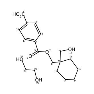 O=C(O)c1ccc(C(=O)OCC2(CO)CCCCC2)cc1.OCCO